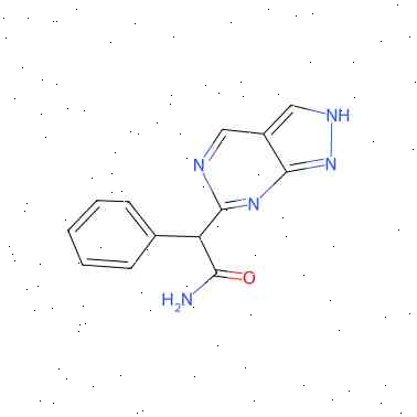 NC(=O)C(c1ccccc1)c1ncc2c[nH]nc2n1